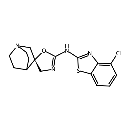 Clc1cccc2sc(NC3=NC[C@@]4(CN5CCC4CC5)O3)nc12